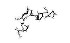 COc1cc2ncc(-c3cccc(N[C@H]4CNC[C@@H]4F)n3)n2nc1-c1cnn(C(F)F)c1